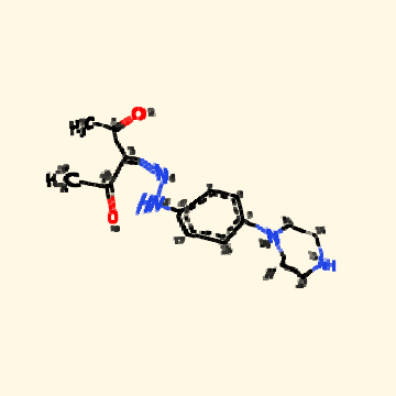 CC(=O)C(=NNc1ccc(N2CCNCC2)cc1)C(C)=O